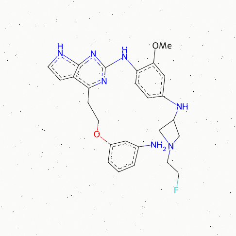 COc1cc(NC2CN(CCF)C2)ccc1Nc1nc(CCOc2cccc(N)c2)c2cc[nH]c2n1